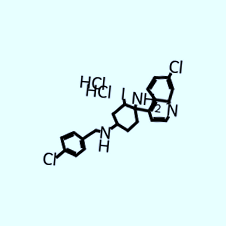 Cl.Cl.NC1(c2ccnc3cc(Cl)ccc23)CCC(NCc2ccc(Cl)cc2)CC1I